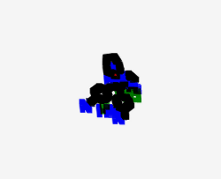 Cl.N#Cc1ccc(-c2nc(N3C4CCC3CC(N)C4)n3ccnc3c2-c2cc3[nH]ncc3cc2F)cc1F